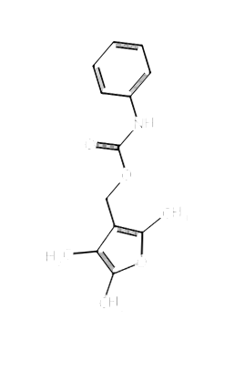 Cc1oc(C)c(COC(=O)Nc2ccccc2)c1C